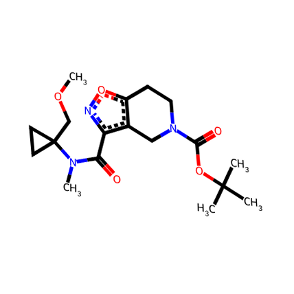 COCC1(N(C)C(=O)c2noc3c2CN(C(=O)OC(C)(C)C)CC3)CC1